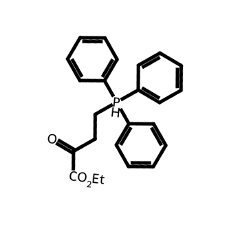 CCOC(=O)C(=O)CC[PH](c1ccccc1)(c1ccccc1)c1ccccc1